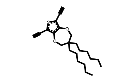 C#Cc1sc(C#C)c2c1OCC(CCCCCC)(CCCCCC)CO2